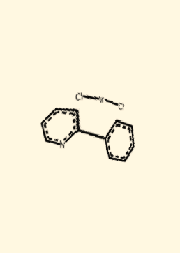 [Cl][Ir][Cl].c1ccc(-c2ccccn2)cc1